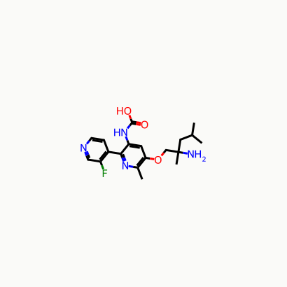 Cc1nc(-c2ccncc2F)c(NC(=O)O)cc1OCC(C)(N)CC(C)C